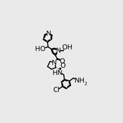 NCc1ccc(Cl)cc1CNC(=O)[C@@H]1CCCN1C(=O)c1cc(C(O)c2ccncc2)cn1CO